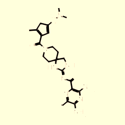 CC1=C(C(=O)N2CCC3(CC2)CN/C(=N\C(=O)c2nc(Cl)c(N)nc2N)N3)C=C(S(=O)(=O)N(C)C)C1